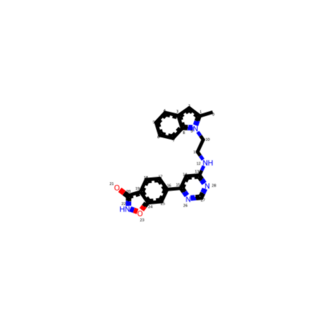 Cc1cc2ccccc2n1CCNc1cc(-c2ccc3c(=O)[nH]oc3c2)ncn1